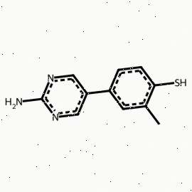 Cc1cc(-c2cnc(N)nc2)ccc1S